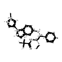 CC[C@H](NC(=O)C(C)(F)F)[C@H](Oc1ccc2c(cnn2-c2cnn(C)c2)c1)c1ccccc1